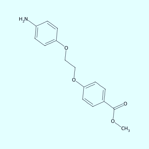 COC(=O)c1ccc(OCCOc2ccc(N)cc2)cc1